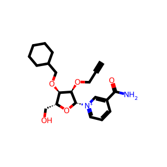 C#CCO[C@@H]1[C@H](OCC2CCCCC2)[C@@H](CO)O[C@H]1[n+]1cccc(C(N)=O)c1